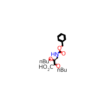 CCCCO[C@@H](CNC(=O)OCc1ccccc1)[C@H](OCCCC)C(=O)O